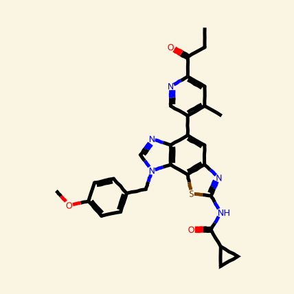 CCC(=O)c1cc(C)c(-c2cc3nc(NC(=O)C4CC4)sc3c3c2ncn3Cc2ccc(OC)cc2)cn1